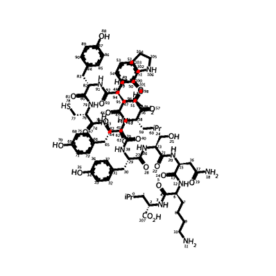 CC(C)C[C@H](NC(=O)[C@H](CCCCN)NC(=O)[C@H](CC(N)=O)NC(=O)[C@H](CO)NC(=O)[C@H](Cc1ccc(O)cc1)NC(=O)[C@H](CO)NC(=O)[C@H](Cc1ccccc1)NC(=O)[C@H](CC(C)C)NC(=O)[C@H](Cc1ccc(O)cc1)NC(=O)[C@H](CS)NC(=O)[C@H](Cc1ccc(O)cc1)NC(=O)[C@H](CC(N)=O)NC(=O)[C@@H]1CCCN1)C(=O)O